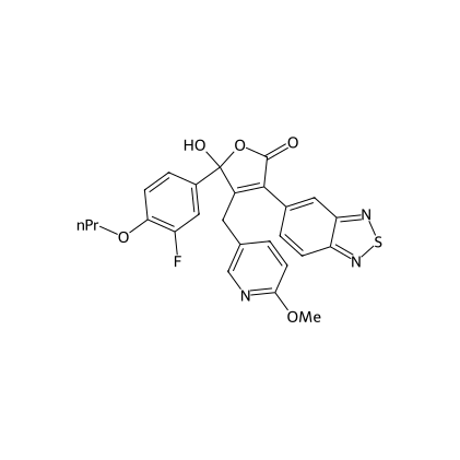 CCCOc1ccc(C2(O)OC(=O)C(c3ccc4nsnc4c3)=C2Cc2ccc(OC)nc2)cc1F